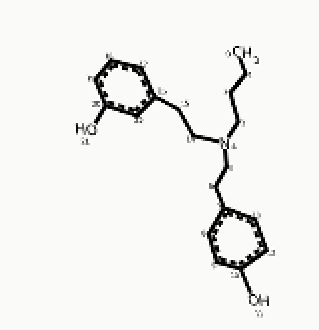 CCCCN(CCc1ccc(O)cc1)CCc1cccc(O)c1